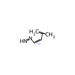 C=C(C)/C=C\N=N